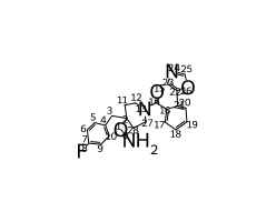 NOC1(Cc2ccc(F)cc2)CCN(C(=O)c2ccccc2-c2cnco2)CC1